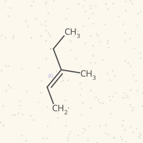 [CH2]/C=C(\C)[CH]C